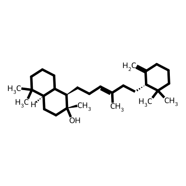 C=C1CCCC(C)(C)[C@@H]1CC/C(C)=C/CC[C@@H]1C2CCCC(C)(C)[C@@H]2CC[C@@]1(C)O